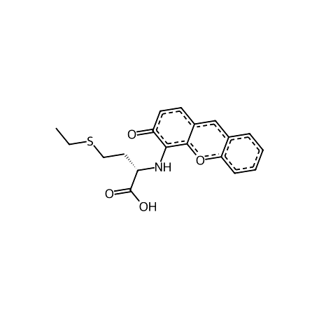 CCSCC[C@H](Nc1c2oc3ccccc3cc-2ccc1=O)C(=O)O